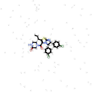 CCCC1=C(C(=O)N2CCNC(=O)C2)N2C(=N[C@@H](c3ccc(Cl)cc3)[C@H]2c2ccc(Cl)cc2)S1